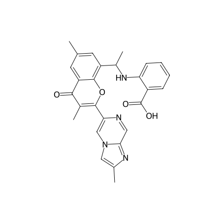 Cc1cc(C(C)Nc2ccccc2C(=O)O)c2oc(-c3cn4cc(C)nc4cn3)c(C)c(=O)c2c1